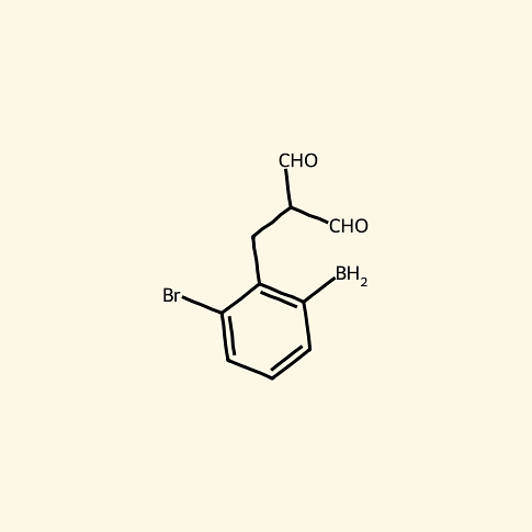 Bc1cccc(Br)c1CC(C=O)C=O